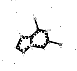 Brc1cn2ncnc2c(Br)n1